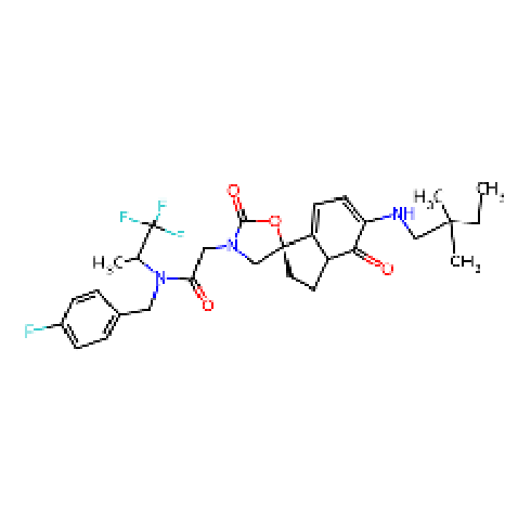 CCC(C)(C)CNC1=CC=C2C(CC[C@]23CN(CC(=O)N(Cc2ccc(F)cc2)C(C)C(F)(F)F)C(=O)O3)C1=O